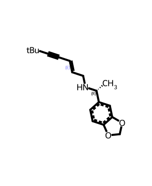 C[C@@H](NC/C=C/C#CC(C)(C)C)c1ccc2c(c1)OCO2